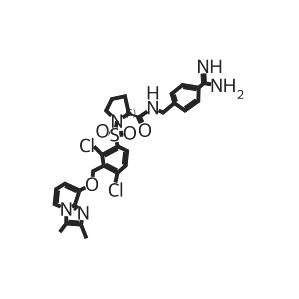 Cc1nc2c(OCc3c(Cl)ccc(S(=O)(=O)N4CCC[C@H]4C(=O)NCc4ccc(C(=N)N)cc4)c3Cl)cccn2c1C